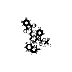 Cc1ccc2c(n1)C(N(CCCCN1C(=O)c3ccccc3C1=O)Cc1nc3ccccc3n1C(=O)OC(C)(C)C)CCC2